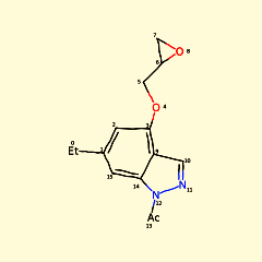 CCc1cc(OCC2CO2)c2cnn(C(C)=O)c2c1